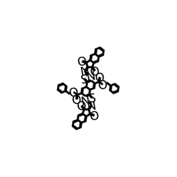 O=C(OCc1ccccc1)C1=CC2c3sc(N=c4c(=O)c5cc6ccccc6cc5c4=O)nc3C(C(=O)OCc3ccccc3)=CC2c2sc(N=c3c(=O)c4cc5ccccc5cc4c3=O)nc21